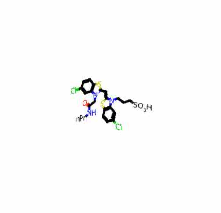 CCCNC(=O)C[n+]1c(/C=C2\Sc3ccc(Cl)cc3N2CCCS(=O)(=O)O)sc2ccc(Cl)cc21